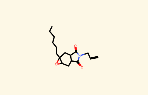 C=CCN1C(=O)C2CC3OC3(CCCCCC)CC2C1=O